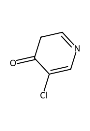 O=C1CC=NC=C1Cl